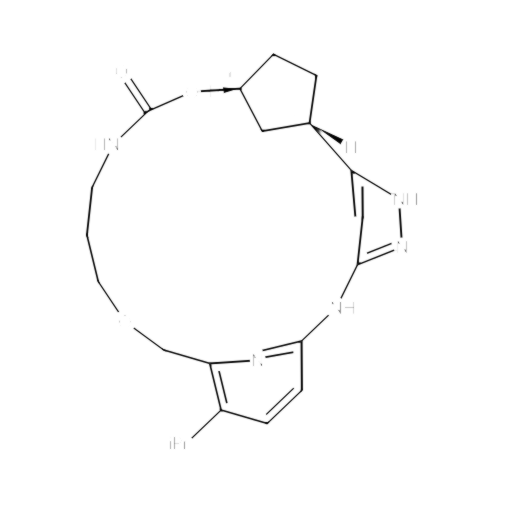 CC(C)c1ccc2nc1COCCCNC(=O)O[C@@H]1CC[C@@H](C1)c1cc(n[nH]1)N2